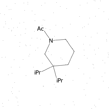 CC(=O)N1CCCC(C(C)C)(C(C)C)C1